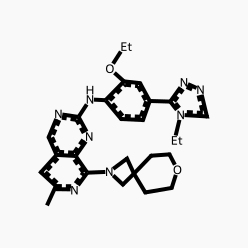 CCOc1cc(-c2nncn2CC)ccc1Nc1ncc2cc(C)nc(N3CC4(CCOCC4)C3)c2n1